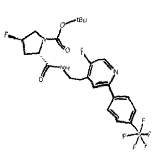 CC(C)(C)OC(=O)N1C[C@H](F)C[C@H]1C(=O)NCc1cc(-c2ccc(S(F)(F)(F)(F)F)cc2)ncc1F